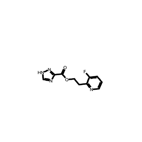 O=C(OCCc1ncccc1F)c1nc[nH]n1